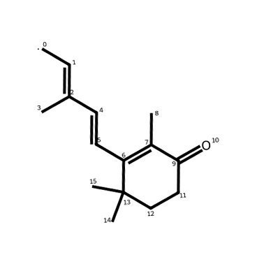 [CH2]/C=C(C)/C=C/C1=C(C)C(=O)CCC1(C)C